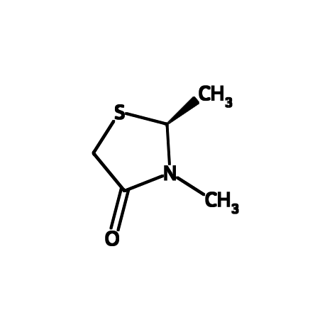 C[C@@H]1SCC(=O)N1C